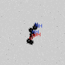 O=C(O)c1[nH]c2c(-c3ccc4[nH]ncc4c3)cccc2c1CCCOc1cccc2ccccc12